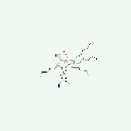 CCCCCCC(C)(CCCCC)C1O[C@@]2(C(C)(CCCCCC)CCCCCC)BOC1C2C(C)(CCCCCC)CCCCCC